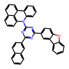 c1ccc2c(c1)-c1cccc3cccc(c13)N2c1nc(-c2ccc3ccccc3c2)nc(-c2ccc3oc4ccccc4c3c2)n1